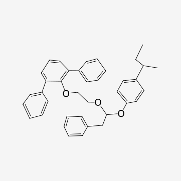 CCC(C)c1ccc(OC(Cc2ccccc2)OCCOc2c(-c3ccccc3)cccc2-c2ccccc2)cc1